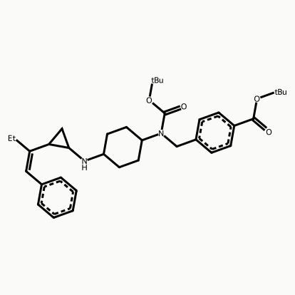 CCC(=Cc1ccccc1)C1CC1NC1CCC(N(Cc2ccc(C(=O)OC(C)(C)C)cc2)C(=O)OC(C)(C)C)CC1